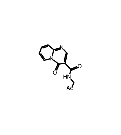 CC(=O)CNC(=O)c1cnc2ccccn2c1=O